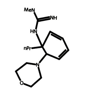 CCCC1(NC(=N)NC)C=CC=CC1N1CCOCC1